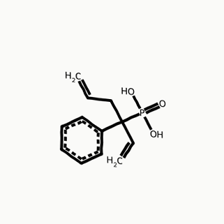 C=CCC(C=C)(c1ccccc1)P(=O)(O)O